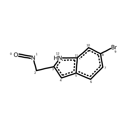 O=NCc1cc2ccc(Br)cc2[nH]1